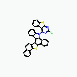 Clc1nc(-n2c3ccccc3c3c4c5ccc6ccccc6c5sc4c4ccccc4c32)c2c(n1)sc1ccccc12